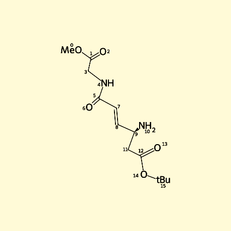 COC(=O)CNC(=O)/C=C/[C@@H](N)CC(=O)OC(C)(C)C